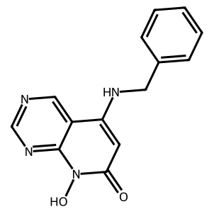 O=c1cc(NCc2ccccc2)c2cncnc2n1O